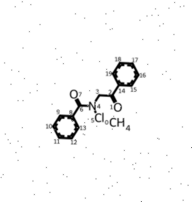 C.O=C(CN(Cl)C(=O)c1ccccc1)c1ccccc1